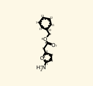 Nc1ccc(CC(=O)OCc2ccccc2)o1